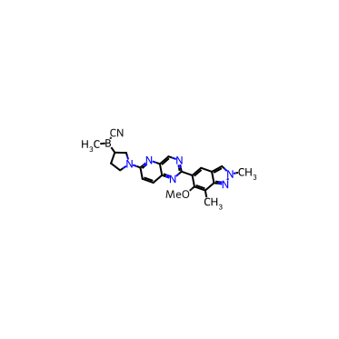 COc1c(-c2ncc3nc(N4CCC(B(C)C#N)C4)ccc3n2)cc2cn(C)nc2c1C